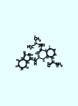 CC(C)NC(=O)c1cccc(C(N)=O)c1CCNc1nsc2ccccc12